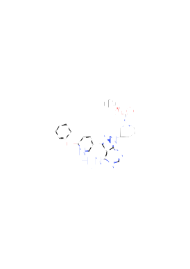 CC(C)(C)OC(=O)N1CCCC(n2nc(-c3ccc(Oc4ccccc4)nc3)c3c(N)ncnc32)C1